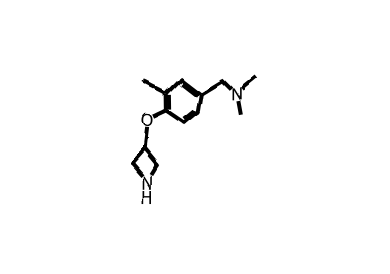 Cc1cc(CN(C)C)ccc1OC1CNC1